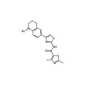 CC(=O)N1CCCc2cc(-c3csc(NC(=O)c4sc(C)nc4C)n3)ccc21